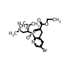 CCOC(=O)C1=C[N+]([O-])(C(CN(C)C)N(C)C)c2ncc(Br)cc2C1